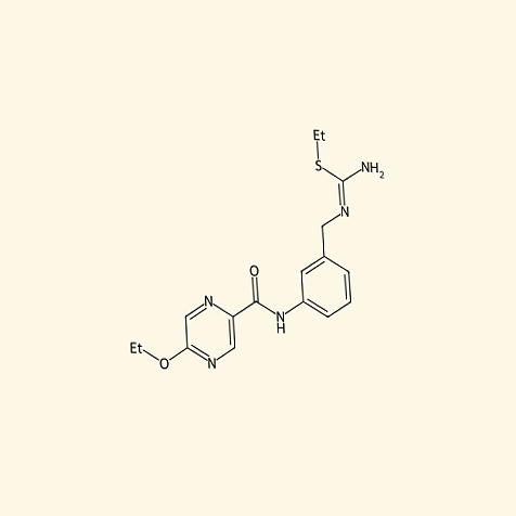 CCOc1cnc(C(=O)Nc2cccc(C/N=C(/N)SCC)c2)cn1